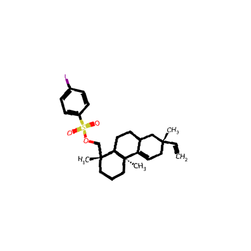 C=C[C@]1(C)CC=C2C(CCC3[C@@](C)(COS(=O)(=O)c4ccc(I)cc4)CCC[C@]23C)C1